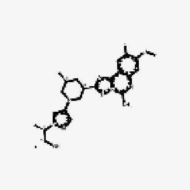 COc1cc2nc(N)n3nc([C@@H]4C[C@H](C)CN(c5cnn([C@H](C)[C@@H](C)O)c5)C4)nc3c2cc1F